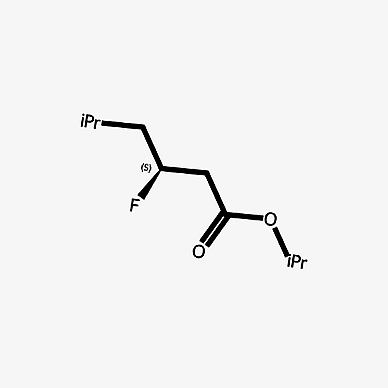 CC(C)C[C@H](F)CC(=O)OC(C)C